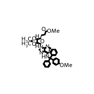 COC(=O)CC[C@H]1O[C@@H](n2cnc3c(NC(c4ccccc4)(c4ccccc4)c4ccc(OC)cc4)ncnc32)[C@@H]2OC(C)(C)O[C@@H]21